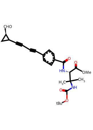 COC(=O)[C@@H](NC(=O)c1ccc(C#CC#CC2C[C@H]2C=O)cc1)C(C)(C)NC(=O)OC(C)(C)C